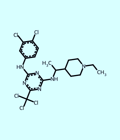 CCN1CCC(C(C)Nc2nc(Nc3ccc(Cl)c(Cl)c3)nc(C(Cl)(Cl)Cl)n2)CC1